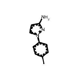 Cc1ccc(-n2ccc(N)n2)cc1